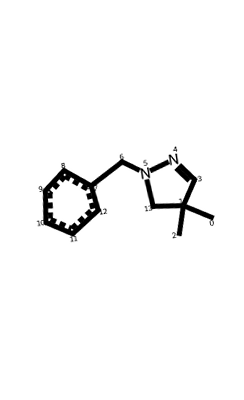 CC1(C)C=NN(Cc2ccccc2)C1